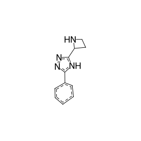 c1ccc(-c2nnc(C3CCN3)[nH]2)cc1